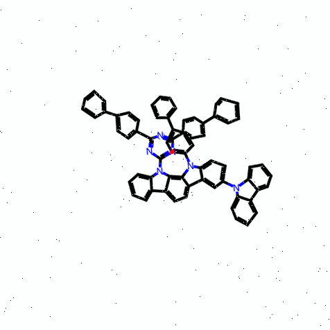 c1ccc(-c2ccc(-c3nc(-c4ccc(-c5ccccc5)cc4)nc(-n4c5ccccc5c5ccc6c7cc(-n8c9ccccc9c9ccccc98)ccc7n(-c7ccc(-c8ccccc8)cc7)c6c54)n3)cc2)cc1